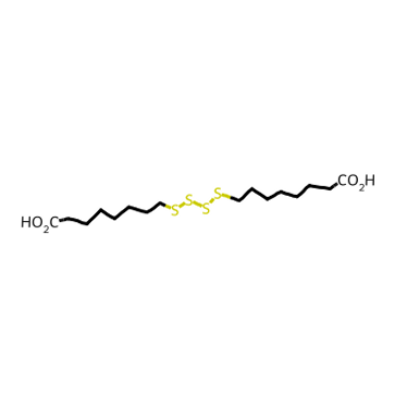 O=C(O)CCCCCCCSSSSCCCCCCCC(=O)O